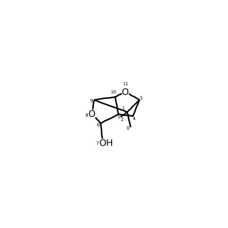 CC1(C)C2CC3C(O)OC1C3O2